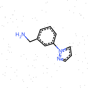 NCc1cccc(-n2[c]ccn2)c1